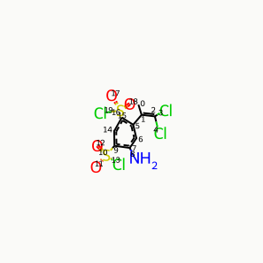 CC(=C(Cl)Cl)c1cc(N)c(S(=O)(=O)Cl)cc1S(=O)(=O)Cl